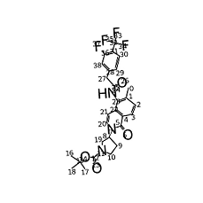 Cc1ccc2c(=O)n(C3CCN(C(=O)OC(C)(C)C)C3)ccc2c1NC(=O)Cc1ccc(C(F)(F)F)c(F)c1